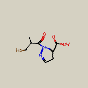 CC(CS)C(=O)N1N=CCC1C(=O)O